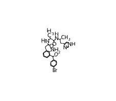 CC(Cc1c[nH]cn1)NC(=O)C(C)NC(=O)Cc1cccc(C(=O)c2ccc(Br)cc2)c1N